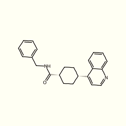 O=C(NCc1ccccc1)[C@H]1CC[C@@H](c2ccnc3ccccc32)CC1